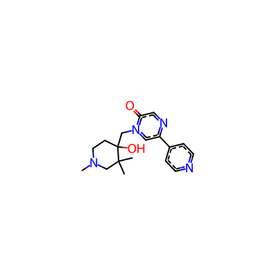 CN1CCC(O)(Cn2cc(-c3ccncc3)ncc2=O)C(C)(C)C1